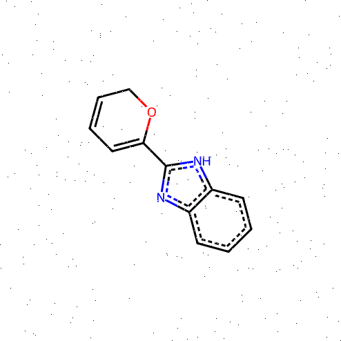 C1=CCOC(c2nc3ccccc3[nH]2)=C1